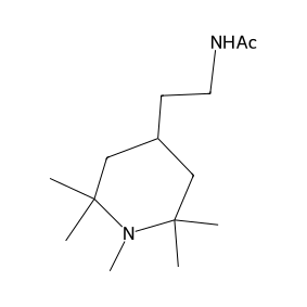 CC(=O)NCCC1CC(C)(C)N(C)C(C)(C)C1